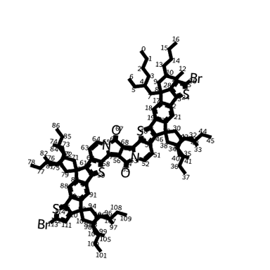 CCCCC(CC)CC1(CC(CC)CCCC)c2cc3c(cc2-c2sc(Br)cc21)C(CC(CC)CCCC)(CC(CC)CCCC)c1c-3sc2c1C=CN1C(=O)C3=C4c5sc6c(c5C=CN4C(=O)C3=C21)C(CC(CC)CCCC)(CC(CC)CCCC)c1cc2c(cc1-6)C(CC(CC)CCCC)(CC(CC)CCCC)c1cc(Br)sc1-2